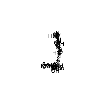 Cc1ncsc1-c1ccc(CNC(=O)[C@@H]2C[C@@H](O)CN2C(=O)[C@@H](NC(=O)CCCCCCCCCNC(=O)COc2ccc3c(c2)CC[C@H]3NC(=O)c2cc(-c3ccc(C(=O)N(C)C)c(O)c3)on2)C(C)(C)C)cc1